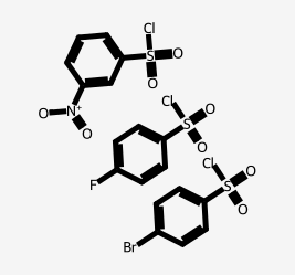 O=S(=O)(Cl)c1ccc(Br)cc1.O=S(=O)(Cl)c1ccc(F)cc1.O=[N+]([O-])c1cccc(S(=O)(=O)Cl)c1